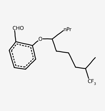 CCCC(CCCC(C)C(F)(F)F)Oc1ccccc1C=O